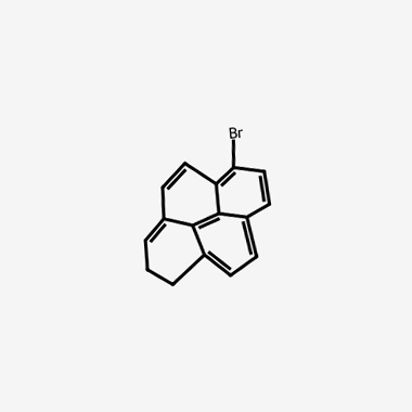 Brc1ccc2ccc3c4c(ccc1c24)=CCC3